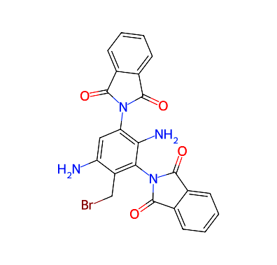 Nc1cc(N2C(=O)c3ccccc3C2=O)c(N)c(N2C(=O)c3ccccc3C2=O)c1CBr